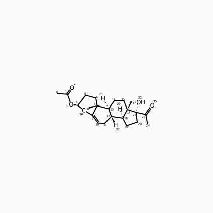 CC(=O)O[C@H]1CC[C@@]2(C)C(=CC[C@@H]3[C@@H]2CC[C@@]2(C)[C@H]3CC[C@]2(O)C(C)=O)C1